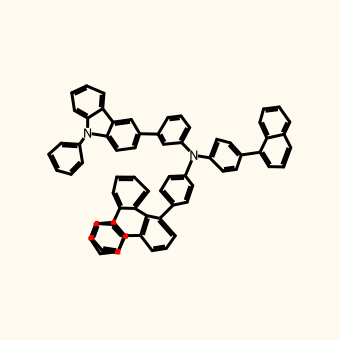 c1ccc(-c2ccccc2-c2c(-c3ccccc3)cccc2-c2ccc(N(c3ccc(-c4cccc5ccccc45)cc3)c3cccc(-c4ccc5c(c4)c4ccccc4n5-c4ccccc4)c3)cc2)cc1